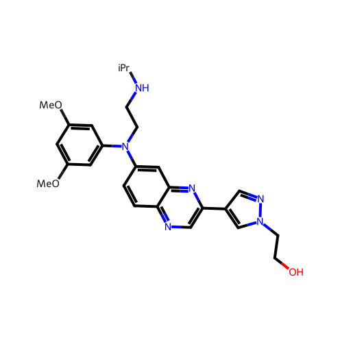 COc1cc(OC)cc(N(CCNC(C)C)c2ccc3ncc(-c4cnn(CCO)c4)nc3c2)c1